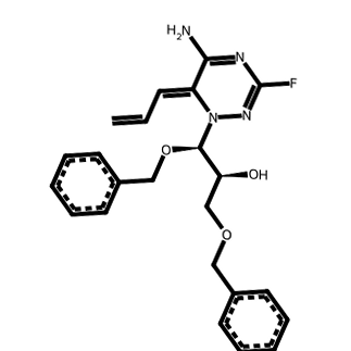 C=C/C=C1/C(N)=NC(F)=NN1[C@H](OCc1ccccc1)[C@@H](O)COCc1ccccc1